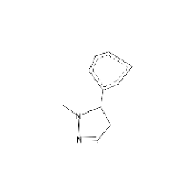 CN1N=[C]CC1c1ccccc1